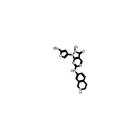 CC(C)n1c(=O)c2cnc(Nc3ccc4c(c3)CNCC4)nc2n1-c1coc(C(C)(C)C)c1